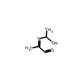 CC(C=O)=NC(C)O